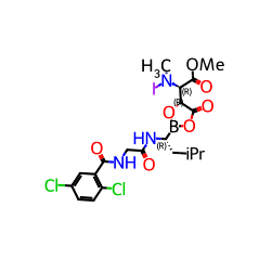 COC(=O)[C@@H]([C@H]1OB([C@H](CC(C)C)NC(=O)CNC(=O)c2cc(Cl)ccc2Cl)OC1=O)N(C)I